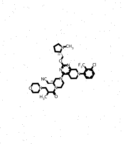 CC(CN1CCOCC1)C(=O)N1CCN(c2nc(OC[C@@H]3CCCN3C)nc3c2CCN(c2cccc(Cl)c2C(F)(F)F)C3)C[C@@H]1CC#N